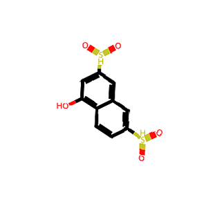 O=[SH](=O)c1[c]c(O)c2ccc([SH](=O)=O)cc2c1